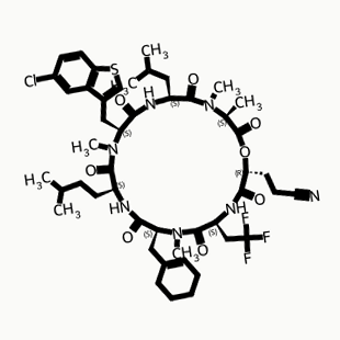 CC(C)CC[C@@H]1NC(=O)[C@H](CC2=CCCCC2)N(C)C(=O)[C@H](CC(F)(F)F)NC(=O)[C@@H](CCC#N)OC(=O)[C@H](C)N(C)C(=O)[C@H](CC(C)C)NC(=O)[C@H](Cc2csc3ccc(Cl)cc23)N(C)C1=O